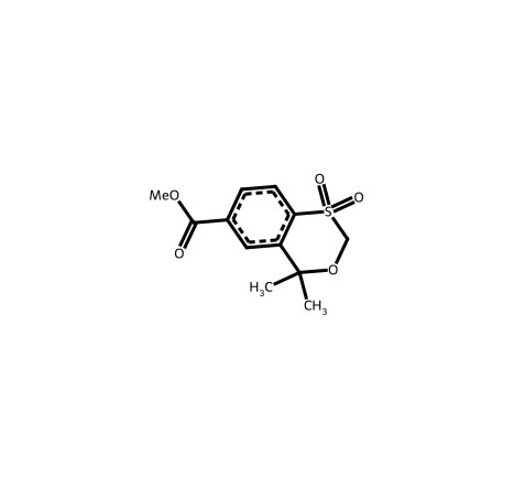 COC(=O)c1ccc2c(c1)C(C)(C)OCS2(=O)=O